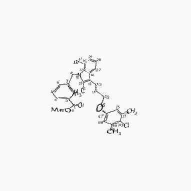 COC(=O)c1cccc(Cn2c(C)c(CCCOc3cc(C)c(Cl)c(C)c3)c3cccc(Br)c32)c1